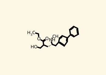 CCOC(=O)C(CO)C[C@@H](Cc1ccc(-c2ccccc2)cc1)NC